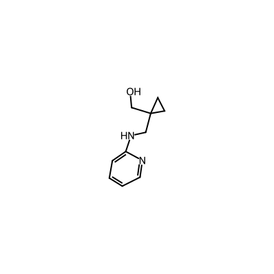 OCC1(CNc2ccccn2)CC1